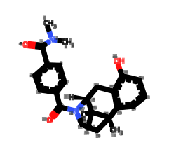 CN(C)C(=O)c1ccc(C(=O)N2CC[C@@]3(C)c4cccc(O)c4C[C@@H]2C3(C)C)cc1